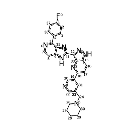 Fc1ccc(-c2nccc3[nH]c(-c4n[nH]c5ccc(-c6cncc(CN7CCCCC7)c6)nc45)nc23)cc1